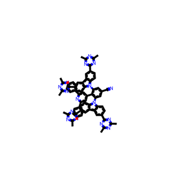 Cc1nc(C)nc(-c2ccc3c(c2)c2cc(-c4nc(C)nc(C)n4)ccc2n3-c2cc(C#N)cc(-n3c4ccc(-c5nc(C)nc(C)n5)cc4c4cc(-c5nc(C)nc(C)n5)ccc43)c2-c2cc(-c3ccccc3)nc(-c3ccccc3)c2)n1